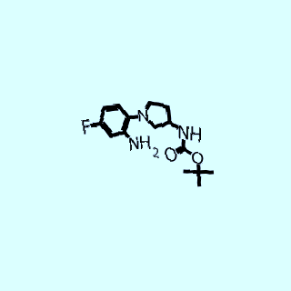 CC(C)(C)OC(=O)NC1CCN(c2ccc(F)cc2N)C1